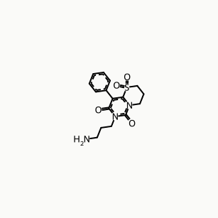 NCCCn1c(=O)c(-c2ccccc2)c2n(c1=O)CCCS2(=O)=O